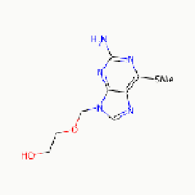 CSc1nc(N)nc2c1ncn2COCCO